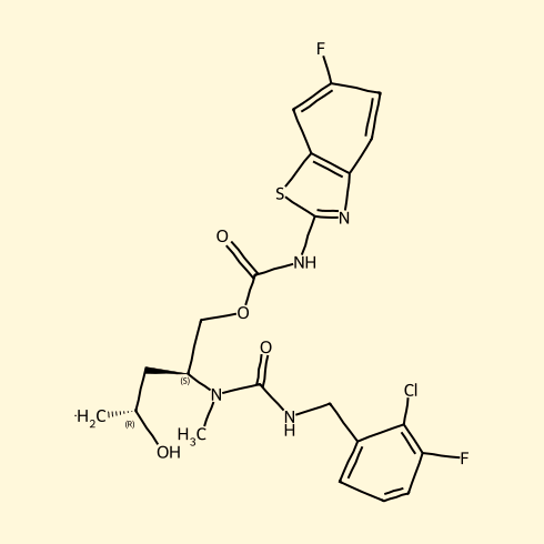 [CH2][C@@H](O)C[C@@H](COC(=O)Nc1nc2ccc(F)cc2s1)N(C)C(=O)NCc1cccc(F)c1Cl